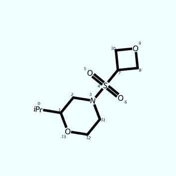 CC(C)C1CN(S(=O)(=O)C2COC2)CCO1